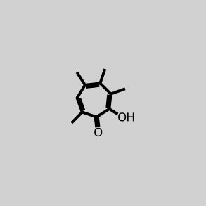 Cc1cc(C)c(=O)c(O)c(C)c1C